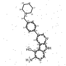 Nc1ncc2[nH]c3ncc(-c4ccc(CN5CCCCC5)cc4)cc3c2c1O